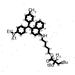 CCN(CC)c1ccc(C(c2ccc(C)cc2)c2ccc(NCCCCCOC(=O)C(C)(CC(C)(C)C)C(C)(C)C)c3ccccc23)cc1